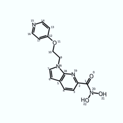 O=C(c1ccc2ccn(CCOc3ccncc3)c2n1)N(O)O